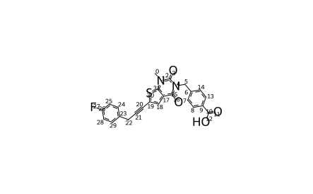 Cn1c(=O)n(Cc2ccc(C(=O)O)cc2)c(=O)c2cc(C#CCc3ccc(F)cc3)sc21